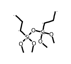 [CH2]C[CH][Si](OC)(OC)O[Si]([CH]C[CH2])(OC)OC